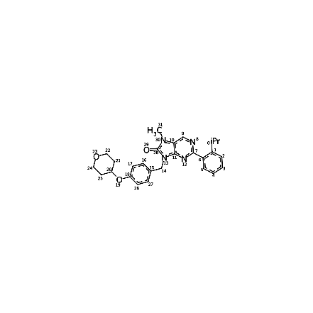 CC(C)c1ccccc1-c1ncc2c(n1)n(Cc1ccc(OC3CCOCC3)cc1)c(=O)n2C